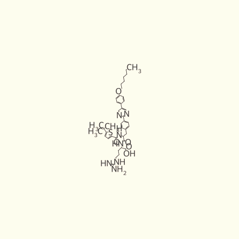 CCCCCCCOc1ccc(-c2cnc(-c3ccc(CC(NC(=O)c4ccc(C(C)(C)C)s4)C(=O)NC(CCCNC(=N)N)C(=O)O)cc3)nc2)cc1